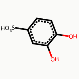 O=S(=O)(O)c1[c]cc(O)c(O)c1